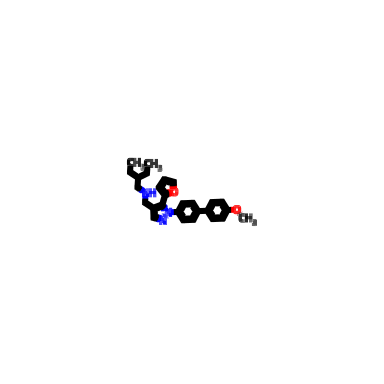 CCC(CC)CNCc1cnn(-c2ccc(-c3ccc(OC)cc3)cc2)c1-c1ccco1